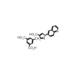 Cc1cc(C(=O)O)cc(C(=O)O)c1.O=C(O)c1cnn(-c2ccc3ncccc3c2)c1